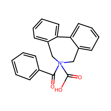 O=C(O)[N+]1(C(=O)c2ccccc2)Cc2ccccc2-c2ccccc2C1